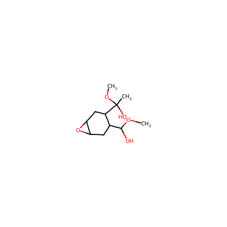 COC(O)C1CC2OC2CC1C(C)(O)OC